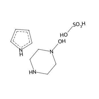 O=S(=O)(O)O.ON1CCNCC1.c1cc[nH]c1